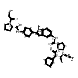 CC(C)CC(=O)N1CCC[C@H]1C(=O)Nc1ccc(-c2cc3cc(NC(=O)[C@@H]4CCCN4C(=O)[C@@H](c4ccccc4)C(C)N=[N+]=[N-])ccc3[nH]2)cc1